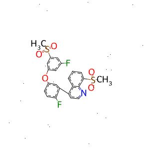 CS(=O)(=O)c1cc(F)cc(Oc2ccc(F)c(-c3ccnc4c(S(C)(=O)=O)cccc34)c2)c1